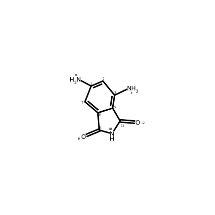 Nc1cc(N)c2c(c1)C(=O)NC2=O